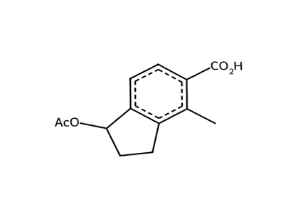 CC(=O)OC1CCc2c1ccc(C(=O)O)c2C